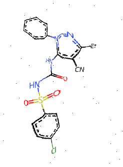 CCc1nn(-c2ccccc2)c(NC(=O)NS(=O)(=O)c2ccc(Cl)cc2)c1C#N